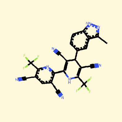 Cc1n[nH]c2ccc(C3C(C#N)=C(c4nc(C(F)(F)F)c(C#N)cc4C#N)NC(C(F)(F)F)=C3C#N)cc12